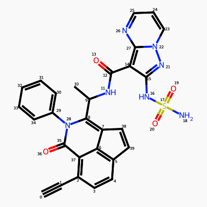 C#Cc1ccc2c3c(c(C(C)NC(=O)c4c(NS(N)(=O)=O)nn5cccnc45)n(-c4ccccc4)c(=O)c13)C=C2